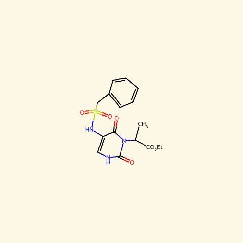 CCOC(=O)C(C)n1c(=O)[nH]cc(NS(=O)(=O)Cc2ccccc2)c1=O